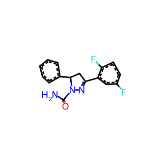 NC(=O)N1N=C(c2cc(F)ccc2F)CC1c1ccccc1